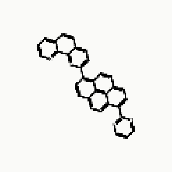 c1cnc(-c2ccc3ccc4c(-c5ccc6ccc7cccnc7c6n5)ccc5ccc2c3c54)nc1